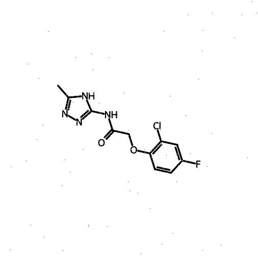 Cc1nnc(NC(=O)COc2ccc(F)cc2Cl)[nH]1